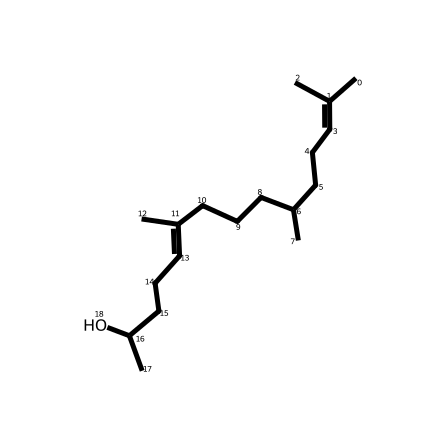 CC(C)=CCCC(C)CCCC(C)=CCCC(C)O